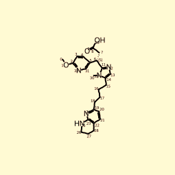 COc1ccc([C@H](CC(=O)O)c2ncc(CCCCc3ccc4c(n3)NCCC4)n2C)cn1